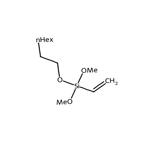 C=C[Si](OC)(OC)OCCCCCCCC